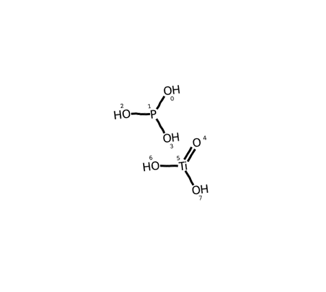 OP(O)O.[O]=[Ti]([OH])[OH]